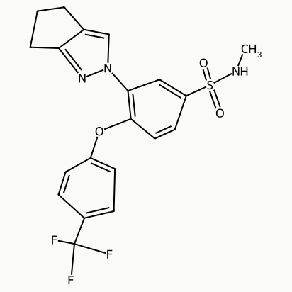 CNS(=O)(=O)c1ccc(Oc2ccc(C(F)(F)F)cc2)c(-n2cc3c(n2)CCC3)c1